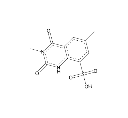 Cc1cc(S(=O)(=O)O)c2[nH]c(=O)n(C)c(=O)c2c1